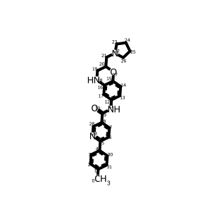 Cc1ccc(-c2ccc(C(=O)Nc3ccc4c(c3)NCC(CN3CCCC3)O4)cn2)cc1